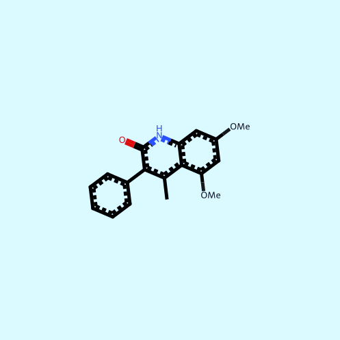 COc1cc(OC)c2c(C)c(-c3ccccc3)c(=O)[nH]c2c1